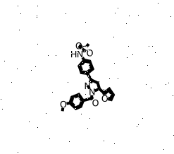 COc1ccc(C(=O)N2N=C(c3ccc(NS(C)(=O)=O)cc3)CC2c2ccco2)cc1